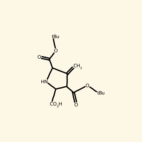 C=C1C(C(=O)OC(C)(C)C)NC(C(=O)O)C1C(=O)OC(C)(C)C